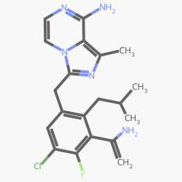 C=C(N)c1c(F)c(Cl)cc(Cc2nc(C)c3c(N)nccn23)c1CC(C)C